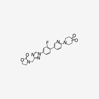 O=C1OCCN1Cc1ncn(-c2ccc(-c3ccc(N4CCS(=O)(=O)CC4)nc3)c(F)c2)n1